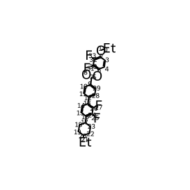 CCOc1ccc(OC(=O)c2ccc(-c3ccc(C4CCC(CC)CC4)c(F)c3F)cc2)c(F)c1F